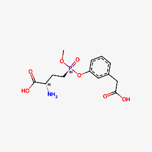 CO[P@@](=O)(CC[C@H](N)C(=O)O)Oc1cccc(CC(=O)O)c1